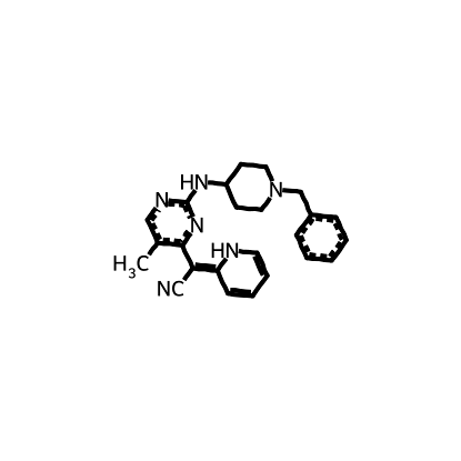 Cc1cnc(NC2CCN(Cc3ccccc3)CC2)nc1/C(C#N)=C1/C=CC=CN1